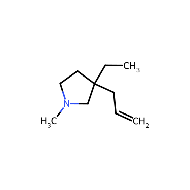 C=CCC1(CC)CCN(C)C1